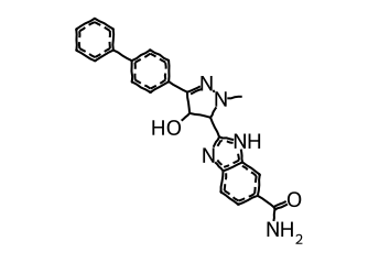 CN1N=C(c2ccc(-c3ccccc3)cc2)C(O)C1c1nc2ccc(C(N)=O)cc2[nH]1